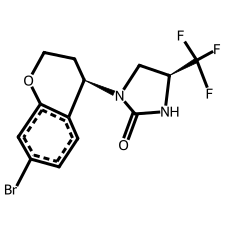 O=C1N[C@H](C(F)(F)F)CN1[C@@H]1CCOc2cc(Br)ccc21